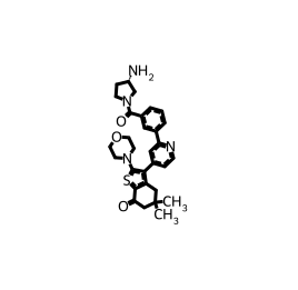 CC1(C)CC(=O)c2sc(N3CCOCC3)c(-c3ccnc(-c4cccc(C(=O)N5CC[C@H](N)C5)c4)c3)c2C1